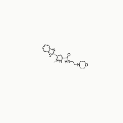 Cn1nc(C(=O)NCCN2CCOCC2)cc1-c1nc2ccccc2s1